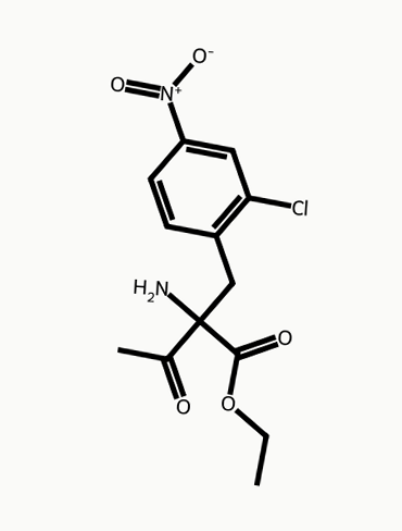 CCOC(=O)C(N)(Cc1ccc([N+](=O)[O-])cc1Cl)C(C)=O